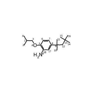 CC(C)COc1ccc(C(C)(C)CC(C)(C)C)cc1N